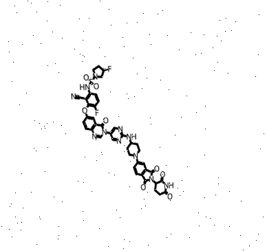 N#Cc1c(NS(=O)(=O)N2CC[C@@H](F)C2)ccc(F)c1Oc1ccc2ncn(-c3cnc(NC4CCN(c5ccc6c(c5)C(=O)N(C5CCC(=O)NC5=O)C6=O)CC4)nc3)c(=O)c2c1